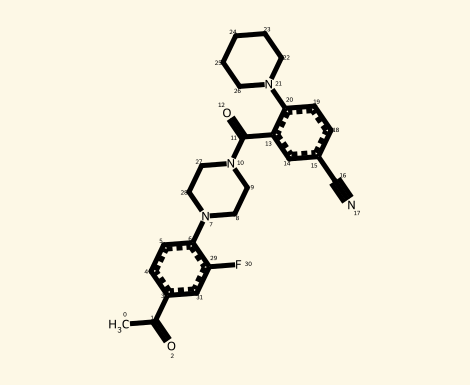 CC(=O)c1ccc(N2CCN(C(=O)c3cc(C#N)ccc3N3CCCCC3)CC2)c(F)c1